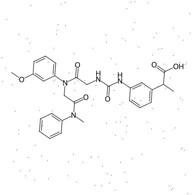 COc1cccc(N(CC(=O)N(C)c2ccccc2)C(=O)CNC(=O)Nc2cccc(C(C)C(=O)O)c2)c1